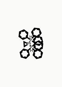 c1ccc([PH](c2ccccc2)(c2ccccc2)[Pt]2([PH](c3ccccc3)(c3ccccc3)c3ccccc3)[CH2][CH2]2)cc1